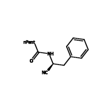 CCCCCC(=O)N[C@H](C#N)Cc1ccccc1